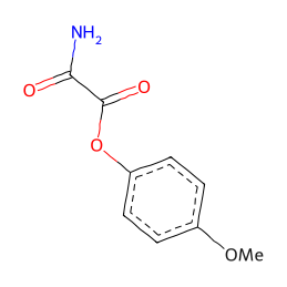 COc1ccc(OC(=O)C(N)=O)cc1